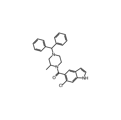 CC1CN(C(c2ccccc2)c2ccccc2)CCN1C(=O)c1cc2cc[nH]c2cc1Cl